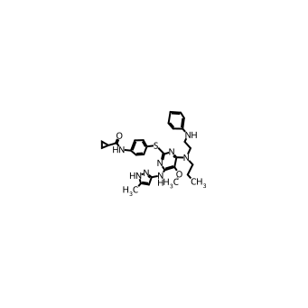 CCCN(CCNc1ccccc1)c1nc(Sc2ccc(NC(=O)C3CC3)cc2)nc(Nc2cc(C)[nH]n2)c1OC